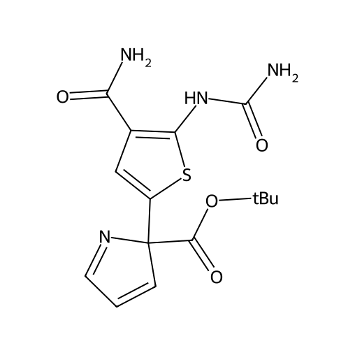 CC(C)(C)OC(=O)C1(c2cc(C(N)=O)c(NC(N)=O)s2)C=CC=N1